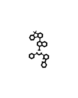 CC1(C)c2ccccc2-c2c(-c3ccc(-c4nc(-c5ccccc5)cc(-c5cccc6c5sc5ccccc56)n4)c4ccccc34)cccc21